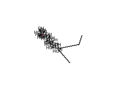 CCCCCCCC/C=C\CCCCCCCCCCCCCCCC(=O)N[C@@H](CO[C@@H]1OC(CO)[C@@H](O[C@@H]2OC(CO)[C@H](O[C@@H]3OC(CO)[C@H](O)[C@H](O[C@@H]4OC(CO)[C@H](O)[C@H](O[C@]5(C(=O)O)CC(O)[C@@H](NC(C)=O)C([C@H](O)[C@H](O)CO)O5)C4O)C3NC(C)=O)[C@H](O)C2O)[C@H](O)C1O)[C@H](O)/C=C/CCCCCCCCCCCCC